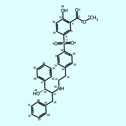 COC(=O)c1cc(S(=O)(=O)c2ccc(CCNC(Cc3ccccc3)[C@H](O)c3ccccc3)cc2)ccc1O